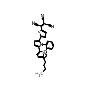 CCCCCCOc1ccccc1-n1c(-c2cccs2)ccc1-c1ccc(C(C#N)=C(C#N)C#N)s1